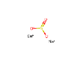 O=S([O-])[O-].[Cu+].[Na+]